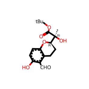 CC(C)(C)OC(=O)[C@@](C)(O)[C@H]1CCc2c(ccc(O)c2C=O)O1